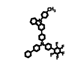 Cc1ccc(-n2c3ccccc3c3cc(-c4ccc(N(c5ccc(-c6ccccc6)cc5)c5ccc(-c6c(F)c(F)c(F)c(F)c6F)cc5)cc4)ccc32)cc1